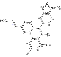 CC/C(=C(/c1ccc(/C=C/C(=O)O)cc1)c1ccc2c(cnn2C(C)=O)c1)c1ccc(F)cc1Cl